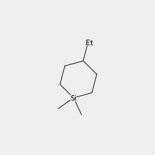 CCC1CC[Si](C)(C)CC1